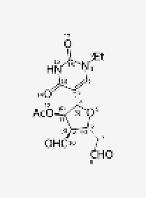 CCn1cc([C@@H]2O[C@H](CC=O)[C@@H](C=O)[C@H]2OC(C)=O)c(=O)[nH]c1=O